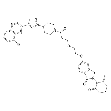 O=C(CCOCCOc1ccc2c(c1)CN(N1C(=O)CCCC1=O)C2=O)N1CCC(n2cc(-c3cnc4cccc(Br)c4n3)cn2)CC1